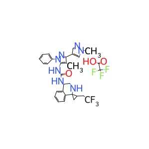 Cc1c(-c2cnn(C)c2)nn(-c2ccccc2)c1NC(=O)NC1CNC2(CC2CC(F)(F)F)c2ccccc21.O=C(O)C(F)(F)F